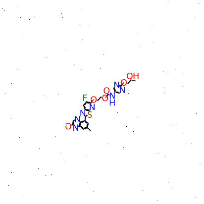 COc1cnc2c(-c3nc4cc(F)c(OCCOC(=O)Nc5cnc(OC[C@H](C)O)nc5)nc4s3)cc(C)cc2n1